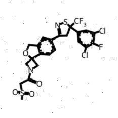 CS(=O)(=O)CC(=O)N1CC2(C1)OCc1cc(C3=NSC(c4cc(Cl)c(F)c(Cl)c4)(C(F)(F)F)C3)ccc12